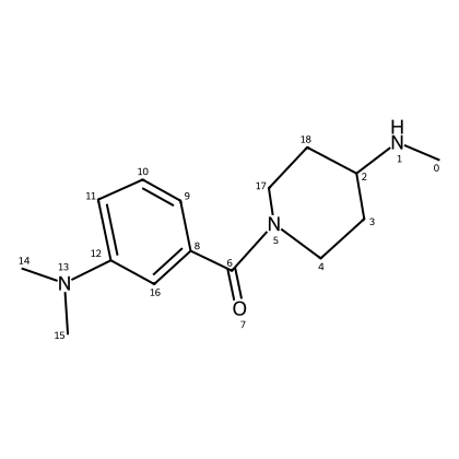 CNC1CCN(C(=O)c2cccc(N(C)C)c2)CC1